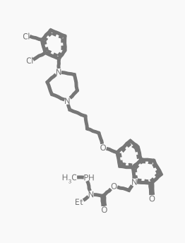 CCN(PC)C(=O)OCn1c(=O)ccc2ccc(OCCCCN3CCN(c4cccc(Cl)c4Cl)CC3)cc21